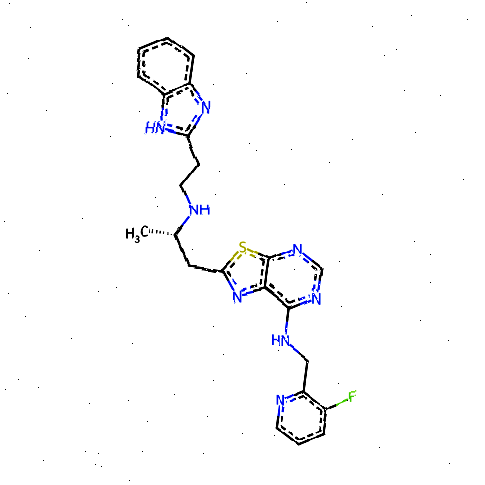 C[C@@H](Cc1nc2c(NCc3ncccc3F)ncnc2s1)NCCc1nc2ccccc2[nH]1